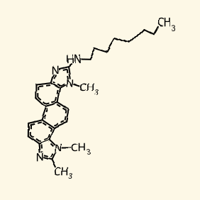 CCCCCCCCNc1nc2ccc3c4ccc5nc(C)n(C)c5c4ccc3c2n1C